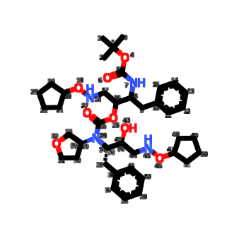 CC(C)(C)OC(=O)NC(Cc1ccccc1)C(CNOC1CCCC1)OC(=O)N([C@H]1CCOC1)[C@@H](Cc1ccccc1)[C@@H](O)CNOC1CCCC1